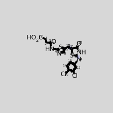 O=C(O)CCC(=O)Nc1ncc(/C=C2\S/C(=N\c3ccc(Cl)c(Cl)c3)NC2=O)s1